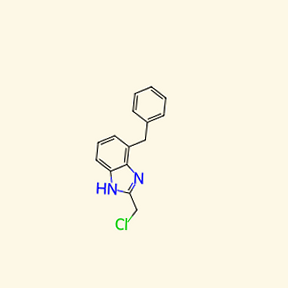 ClCc1nc2c(Cc3ccccc3)cccc2[nH]1